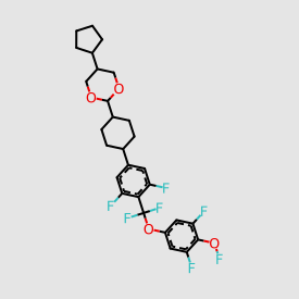 FOc1c(F)cc(OC(F)(F)c2c(F)cc(C3CCC(C4OCC(C5CCCC5)CO4)CC3)cc2F)cc1F